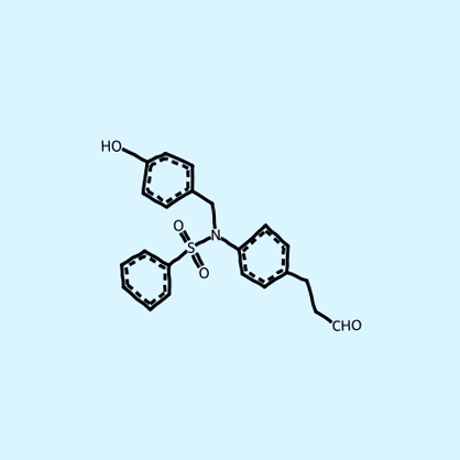 O=CCCc1ccc(N(Cc2ccc(O)cc2)S(=O)(=O)c2ccccc2)cc1